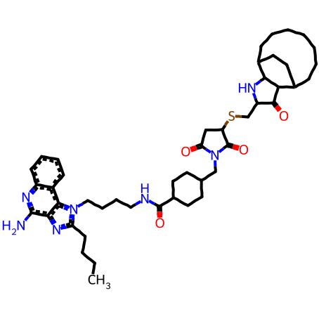 CCCCc1nc2c(N)nc3ccccc3c2n1CCCCNC(=O)C1CCC(CN2C(=O)CC(SCC3NC4C5CCCCCCCC(CC5)C4C3=O)C2=O)CC1